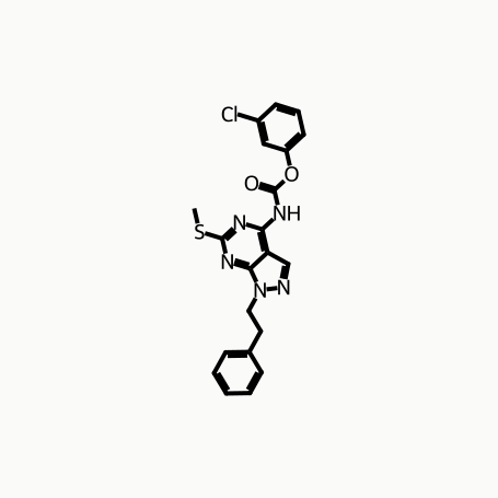 CSc1nc(NC(=O)Oc2cccc(Cl)c2)c2cnn(CCc3ccccc3)c2n1